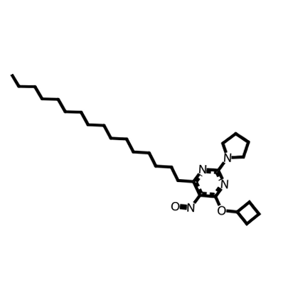 CCCCCCCCCCCCCCCCc1nc(N2CCCC2)nc(OC2CCC2)c1N=O